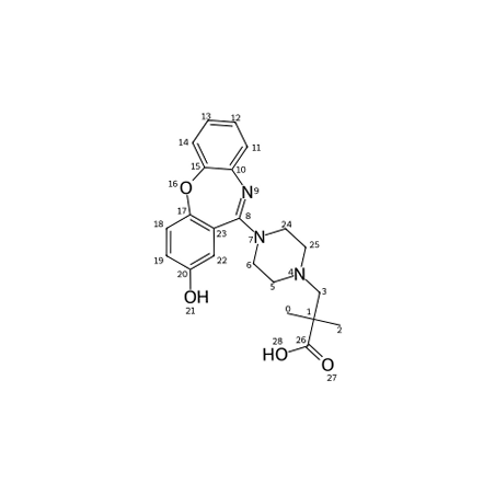 CC(C)(CN1CCN(C2=Nc3ccccc3Oc3ccc(O)cc32)CC1)C(=O)O